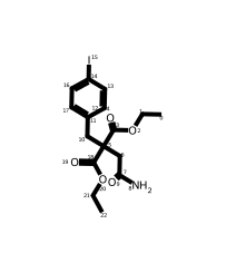 CCOC(=O)C(CC(N)=O)(Cc1ccc(I)cc1)C(=O)OCC